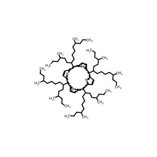 CCCC(C)CCCCC(CCC(C)CCC)c1c2nc(c(C(CCCCC(C)CCC)CCC(C)CCC)c3ccc([nH]3)c(C(CCCCC(C)CCC)CCC(C)CCC)c3nc(c(C(CCCCC(C)CCC)CCC(C)CCC)c4ccc1[nH]4)C=C3)C=C2